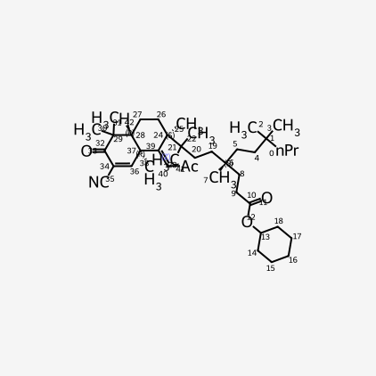 CCCC(C)(C)CC[C@](C)(CCC(=O)OC1CCCCC1)CCC(C)(C)[C@]1(C)CC[C@H]2C(C)(C)C(=O)C(C#N)=C[C@]2(C)/C1=C/C(C)=O